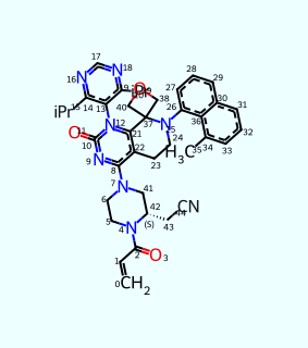 C=CC(=O)N1CCN(c2nc(=O)n(-c3c(C(C)C)ncnc3C(C)C)c3c2CCN(c2cccc4cccc(C)c24)C32COC2)C[C@@H]1CC#N